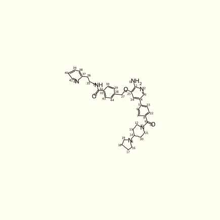 Nc1ncc(-c2ccc(C(=O)N3CCC(N4CCCC4)CC3)cc2)cc1OCc1ccc(C(=O)NCCc2ccccn2)cc1